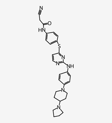 N#CCC(=O)Nc1ccc(Sc2ccnc(Nc3ccc(N4CCC(N5CCCC5)CC4)cc3)n2)cc1